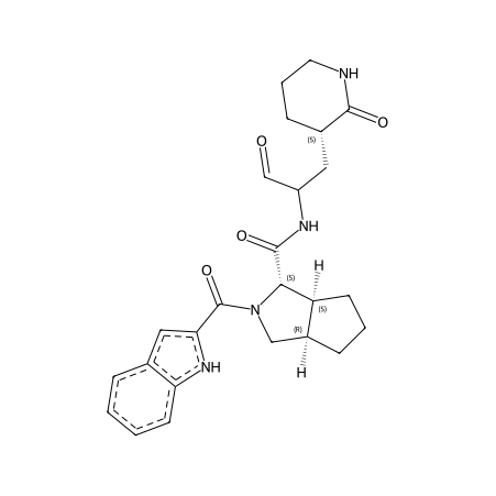 O=CC(C[C@@H]1CCCNC1=O)NC(=O)[C@@H]1[C@H]2CCC[C@H]2CN1C(=O)c1cc2ccccc2[nH]1